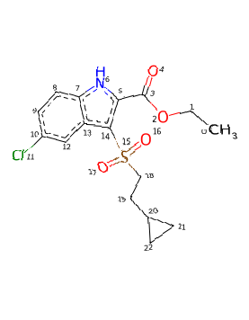 CCOC(=O)c1[nH]c2ccc(Cl)cc2c1S(=O)(=O)CCC1CC1